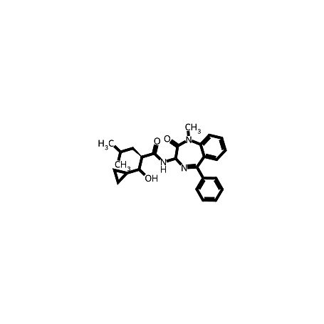 CC(C)C[C@@H](C(=O)NC1N=C(c2ccccc2)c2ccccc2N(C)C1=O)C(O)C1CC1